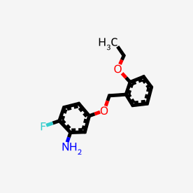 CCOc1ccccc1COc1ccc(F)c(N)c1